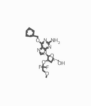 COCC(F)(F)O[C@@H]1C[C@@H](CO)OC1n1cnc2c(OCc3ccccc3)nc(N)nc21